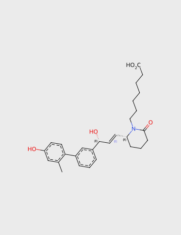 Cc1cc(O)ccc1-c1cccc([C@H](O)/C=C/[C@H]2CCCC(=O)N2CCCCCCC(=O)O)c1